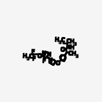 CC[C@@H](C)NC(=O)C(C)c1ccc(OC2CCN(c3ncnc(OCC(C)(F)F)c3F)C2)cc1